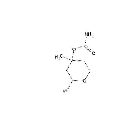 CC(C)C1CC(C)(OC(N)=O)CCO1